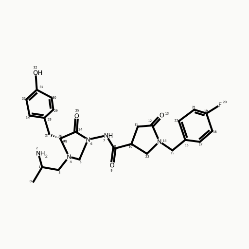 CC(N)CN1CN(NC(=O)C2CC(=O)N(Cc3ccc(F)cc3)C2)C(=O)[C@H]1Cc1ccc(O)cc1